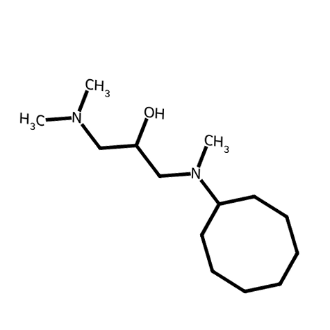 CN(C)CC(O)CN(C)C1CCCCCCC1